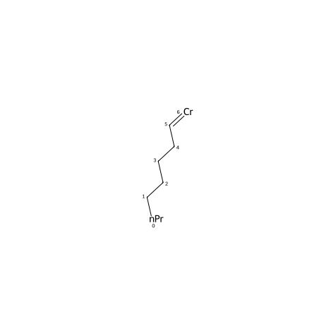 CCCCCCC[CH]=[Cr]